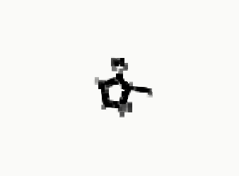 Cc1nnc[nH]1.N